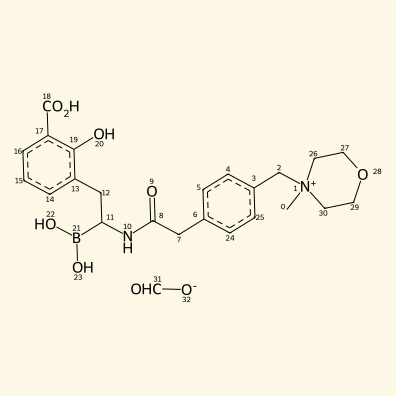 C[N+]1(Cc2ccc(CC(=O)NC(Cc3cccc(C(=O)O)c3O)B(O)O)cc2)CCOCC1.O=C[O-]